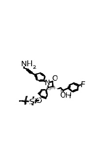 CC(C)(C)[Si](C)(C)Oc1ccc([C@@H]2[C@@H](CC[C@H](O)c3ccc(F)cc3)C(=O)N2c2ccc(C#CCN)cc2)cc1